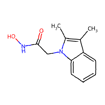 Cc1c(C)n(CC(=O)NO)c2ccccc12